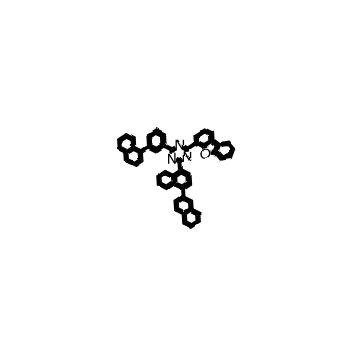 c1cc(-c2nc(-c3ccc(-c4ccc5ccccc5c4)c4ccccc34)nc(-c3cccc4c3oc3ccccc34)n2)cc(-c2cccc3ccccc23)c1